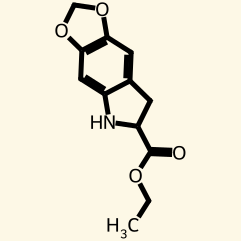 CCOC(=O)C1Cc2cc3c(cc2N1)OCO3